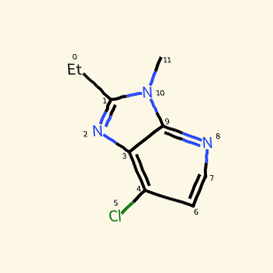 CCc1nc2c(Cl)ccnc2n1C